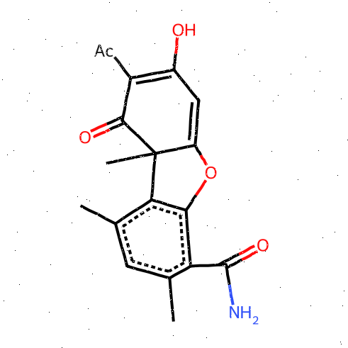 CC(=O)C1=C(O)C=C2Oc3c(C(N)=O)c(C)cc(C)c3C2(C)C1=O